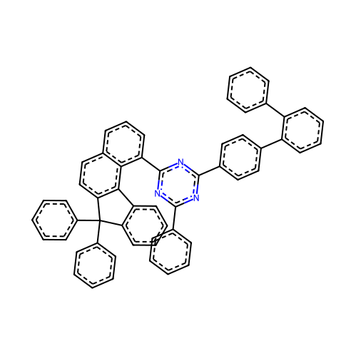 c1ccc(-c2nc(-c3ccc(-c4ccccc4-c4ccccc4)cc3)nc(-c3cccc4ccc5c(c34)-c3ccccc3C5(c3ccccc3)c3ccccc3)n2)cc1